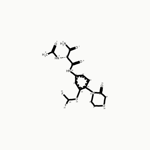 CC(=O)N[C@H](C(N)=O)C(=O)Nc1ccc(N2CCOCC2=O)c(OC(F)F)c1